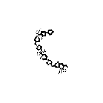 CCc1cc2ncc(CN3CCN(c4ccc(C(=O)NC5CCN(CC6CCN(C(=O)c7c(F)cc(-c8ccccc8)cc7F)CC6)CC5)nc4)CC3)cc2[nH]c1=O